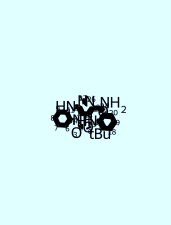 CC(C)(C)OC(=O)N[C@H]1CCCCC1Nc1cc(Nc2ccccc2)c(C(N)=O)nn1